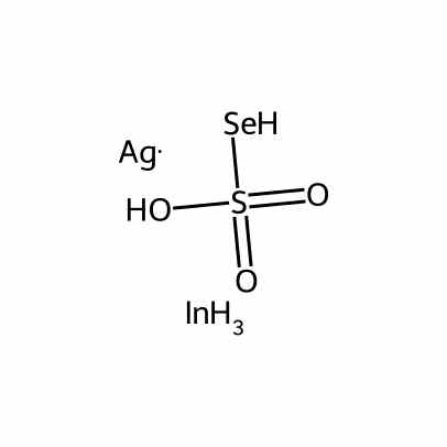 O=S(=O)(O)[SeH].[Ag].[InH3]